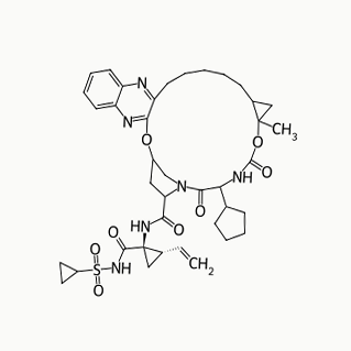 C=C[C@@H]1C[C@]1(NC(=O)C1CC2CN1C(=O)C(C1CCCC1)NC(=O)OC1(C)CC1CCCCCc1nc3ccccc3nc1O2)C(=O)NS(=O)(=O)C1CC1